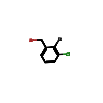 CCc1c(Cl)cccc1CBr